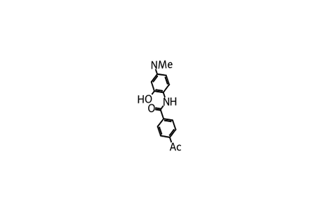 CNc1ccc(NC(=O)c2ccc(C(C)=O)cc2)c(O)c1